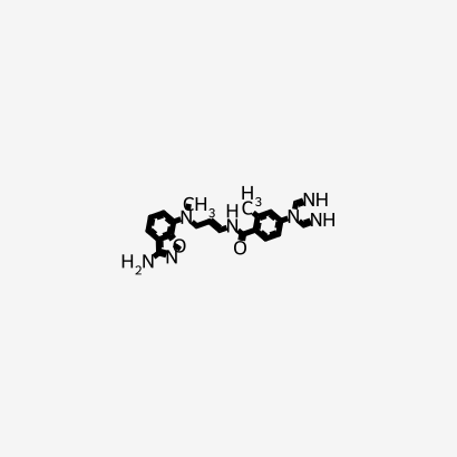 Cc1cc(N(C=N)C=N)ccc1C(=O)N/C=C/CN(C)c1cccc2c(N)noc12